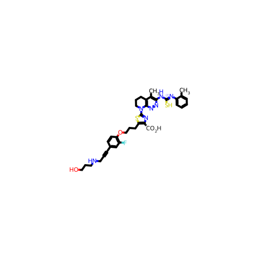 Cc1ccccc1/N=C(\S)Nc1nnc2c(c1C)CCCN2c1nc(C(=O)O)c(CCCOc2ccc(C#CCNCCCO)cc2F)s1